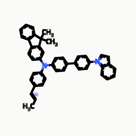 C/C=C/c1ccc(N(c2ccc(-c3ccc(-n4ccc5ccccc54)cc3)cc2)c2ccc3c(c2)C(C)(C)c2ccccc2-3)cc1